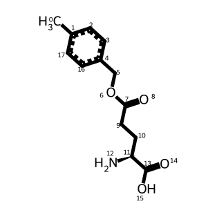 Cc1ccc(COC(=O)CC[C@H](N)C(=O)O)cc1